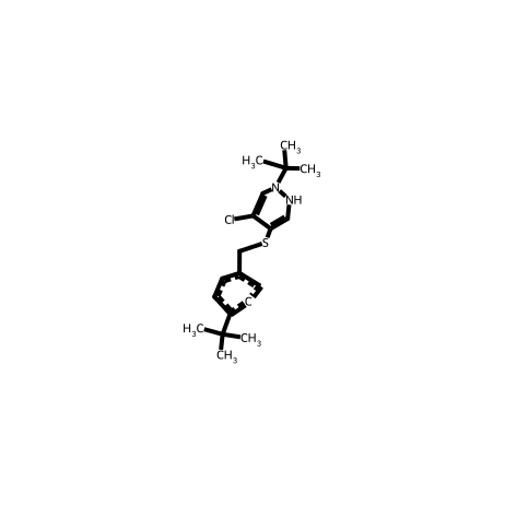 CC(C)(C)c1ccc(CSC2=CNN(C(C)(C)C)C=C2Cl)cc1